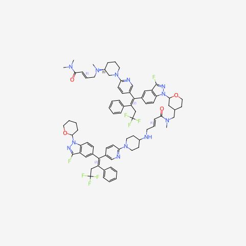 CN(C)C(=O)/C=C/CN(C)[C@H]1CCCN(c2ccc(/C(=C(/CC(F)(F)F)c3ccccc3)c3ccc4c(c3)c(F)nn4C3CC(CN(C)C(=O)/C=C/CNC4CCN(c5ccc(/C(=C(/CC(F)(F)F)c6ccccc6)c6ccc7c(c6)c(F)nn7C6CCCCO6)cn5)CC4)CCO3)cn2)C1